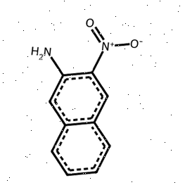 Nc1cc2ccccc2cc1[N+](=O)[O-]